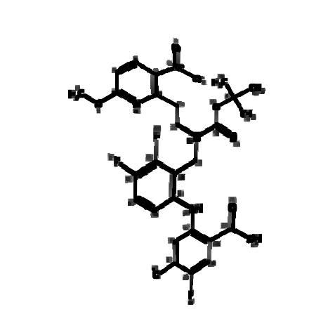 COc1ccc([N+](=O)[O-])c(CCN(Cc2c(Nc3cc(Cl)c(F)cc3C(=O)O)ccc(F)c2F)C(=O)OC(C)(C)C)n1